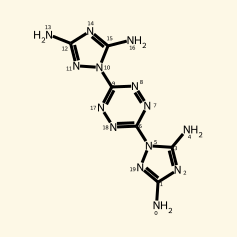 Nc1nc(N)n(-c2nnc(-n3nc(N)nc3N)nn2)n1